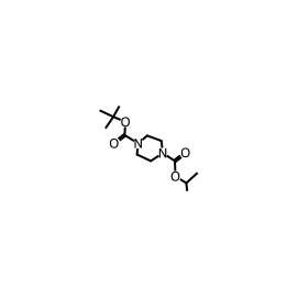 CC(C)OC(=O)N1CCN(C(=O)OC(C)(C)C)CC1